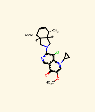 CN[C@@H]1C=C[C@H](C)[C@@H]2CN(c3ncc4c(=O)c(OC(=O)O)cn(C5CC5)c4c3Cl)C[C@@H]21